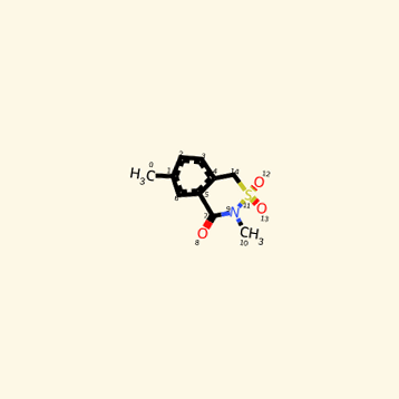 Cc1ccc2c(c1)C(=O)N(C)S(=O)(=O)C2